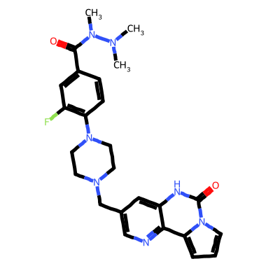 CN(C)N(C)C(=O)c1ccc(N2CCN(Cc3cnc4c(c3)[nH]c(=O)n3cccc43)CC2)c(F)c1